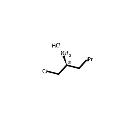 CC(C)C[C@H](N)CCl.Cl